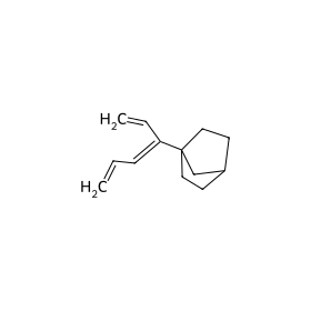 C=CC=C(C=C)C12CCC(CC1)C2